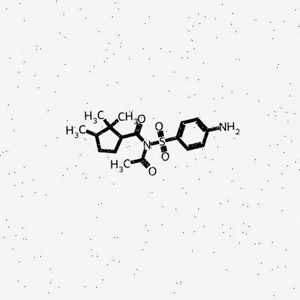 CC(=O)N(C(=O)C1CCC(C)C1(C)C)S(=O)(=O)c1ccc(N)cc1